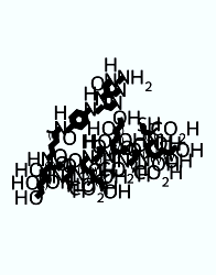 C[C@H](CCC(=O)N[C@H](C(=O)N[C@@H](CC(=O)O)C(=O)N[C@H](C(=O)N[C@@H](CC(=O)O)C(=O)N[C@H](C(=O)N[C@@H](CC(=O)O)C(=O)N[C@H](C(=O)N[C@@H](CS)C(=O)O)[C@@H](O)[C@H](O)[C@H](O)CO)[C@@H](O)[C@H](O)[C@H](O)CO)[C@@H](O)[C@H](O)[C@H](O)CO)[C@@H](O)[C@H](O)[C@H](O)CO)NC(=O)c1ccc(NCc2cnc3nc(N)[nH]c(=O)c3n2)cc1